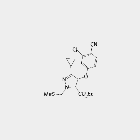 CCOC(=O)C1C(Oc2ccc(C#N)c(Cl)c2)C(C2CC2)=NN1CSC